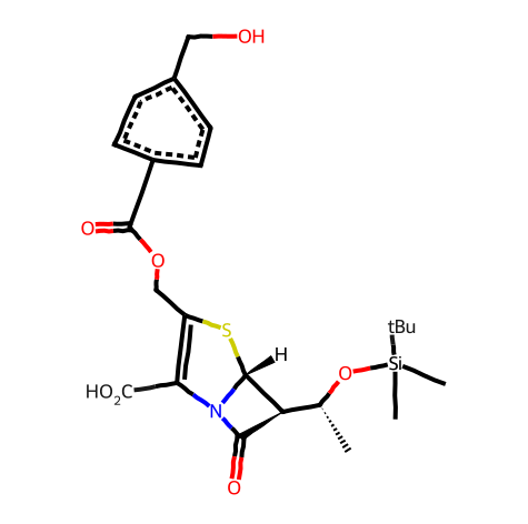 C[C@@H](O[Si](C)(C)C(C)(C)C)[C@H]1C(=O)N2C(C(=O)O)=C(COC(=O)c3ccc(CO)cc3)S[C@H]12